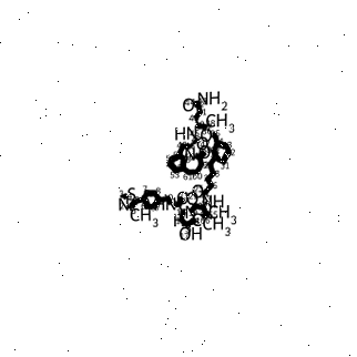 Cc1ncsc1-c1ccc(CNC(=O)[C@@H]2C[C@@H](O)CN2C(=O)[C@@H](NC(=O)CCCCc2cccc(CO[C@H](C)[C@H](CCC(N)=O)NC(=O)[C@@H]3Cc4cccc5c4N3C(=O)CCC5)c2)C(C)(C)C)cc1